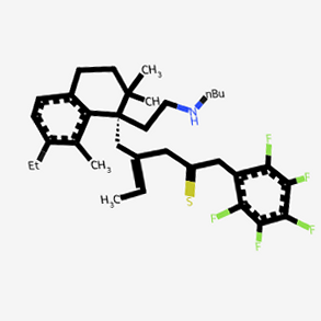 C/C=C(/CC(=S)Cc1c(F)c(F)c(F)c(F)c1F)C[C@]1(CCNCCCC)c2c(ccc(CC)c2C)CCC1(C)C